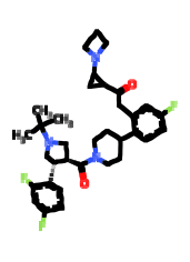 CC(C)(C)N1C[C@@H](C(=O)N2CCC(c3ccc(F)cc3CC(=O)C3CC3N3CCC3)CC2)[C@H](c2ccc(F)cc2F)C1